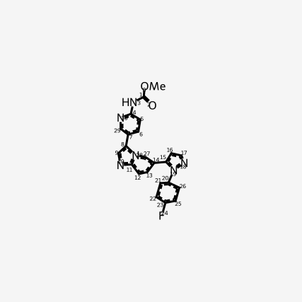 COC(=O)Nc1ccc(-c2cnc3ccc(-c4ccnn4-c4ccc(F)cc4)cn23)cn1